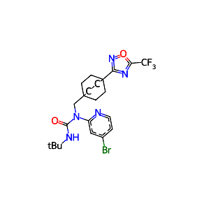 CC(C)(C)NC(=O)N(CC12CCC(c3noc(C(F)(F)F)n3)(CC1)CC2)c1cc(Br)ccn1